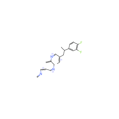 C=N/C=C\C=N/CC(=C)/N=C\C(=C/C)CC(C)c1ccc(F)c(F)c1